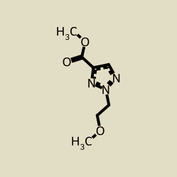 COCCn1ncc(C(=O)OC)n1